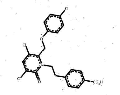 O=C(O)c1ccc(CCn2c(COc3ccc(Cl)cc3)c(Cl)cc(Cl)c2=O)cc1